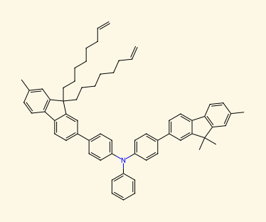 C=CCCCCCCC1(CCCCCCC=C)c2cc(C)ccc2-c2ccc(-c3ccc(N(c4ccccc4)c4ccc(-c5ccc6c(c5)C(C)(C)c5cc(C)ccc5-6)cc4)cc3)cc21